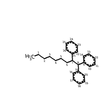 CCCCCCCC([C](c1ccccc1)c1ccccc1)c1ccccc1